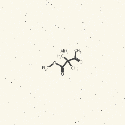 COC(=O)C(C)(C)C(C)=O.[AlH3]